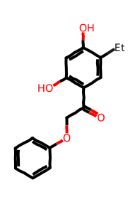 CCc1cc(C(=O)COc2ccccc2)c(O)cc1O